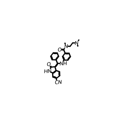 CN(C)CCN(C)C(=O)c1cccc(NC(=C2C(=O)Nc3cc(C#N)ccc32)c2ccccc2)c1